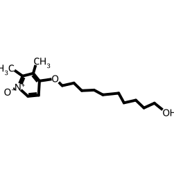 Cc1c(OCCCCCCCCCCO)cc[n+]([O-])c1C